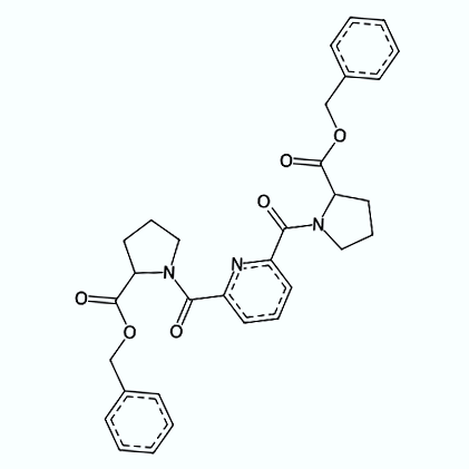 O=C(OCc1ccccc1)C1CCCN1C(=O)c1cccc(C(=O)N2CCCC2C(=O)OCc2ccccc2)n1